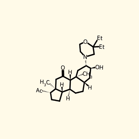 CCC1(CC)CN([C@H]2C[C@@]3(C)[C@@H](CC[C@H]4[C@@H]5CC[C@H](C(C)=O)[C@@]5(C)CC(=O)[C@@H]43)C[C@@H]2O)CCO1